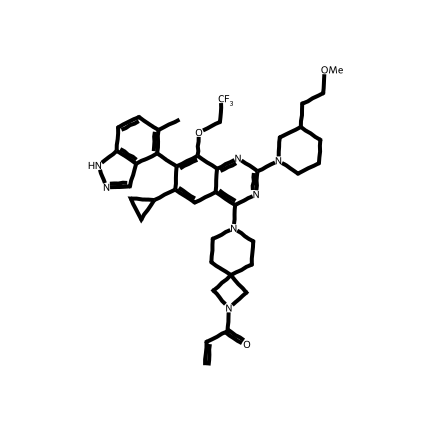 C=CC(=O)N1CC2(CCN(c3nc(N4CCCC(CCOC)C4)nc4c(OCC(F)(F)F)c(-c5c(C)ccc6[nH]ncc56)c(C5CC5)cc34)CC2)C1